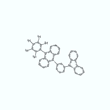 [2H]c1c([2H])c([2H])c(-c2c3ccccc3c(-c3cccc(-n4c5ccccc5c5ccccc54)c3)c3ccccc23)c([2H])c1[2H]